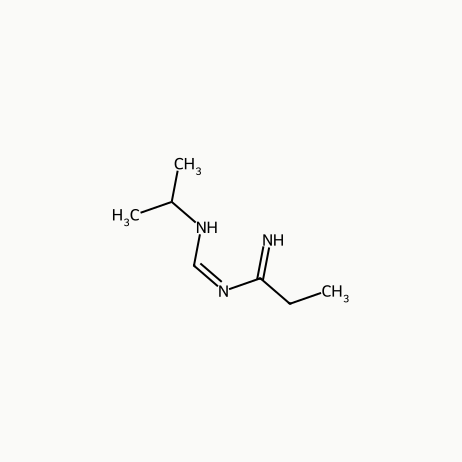 CCC(=N)/N=C\NC(C)C